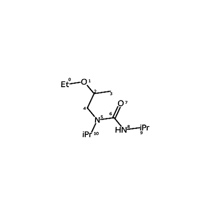 CCOC(C)CN(C(=O)NC(C)C)C(C)C